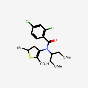 COCC(COC)N(C(=O)c1ccc(Cl)cc1Cl)C1=C(C(=O)O)SC(C(C)(C)C)C1